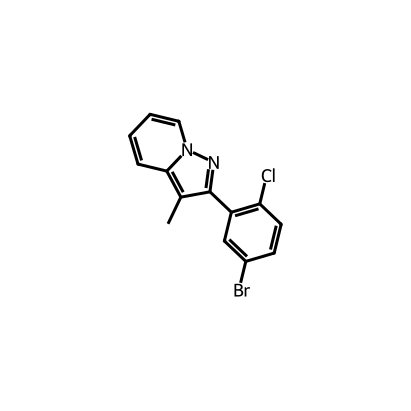 Cc1c(-c2cc(Br)ccc2Cl)nn2ccccc12